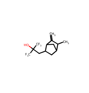 C=C1C(C)C2CC(CC(O)(C(F)(F)F)C(F)(F)F)C1C2